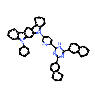 C1=C(C2N=C(c3ccc4ccccc4c3)N=C(c3ccc4ccccc4c3)N2)NCC(n2c3ccccc3c3cc4c5ccccc5n(-c5ccccc5)c4cc32)=C1